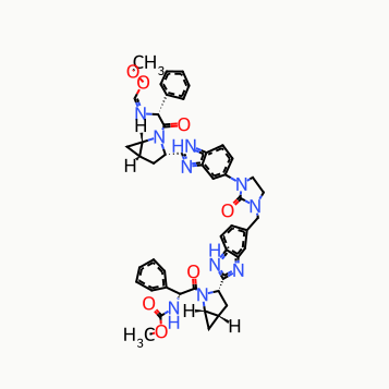 COO/C=N\[C@@H](C(=O)N1[C@H](c2nc3cc(N4CCN(Cc5ccc6[nH]c([C@@H]7C[C@@H]8C[C@@H]8N7C(=O)[C@H](NC(=O)OC)c7ccccc7)nc6c5)C4=O)ccc3[nH]2)C[C@@H]2C[C@@H]21)c1ccccc1